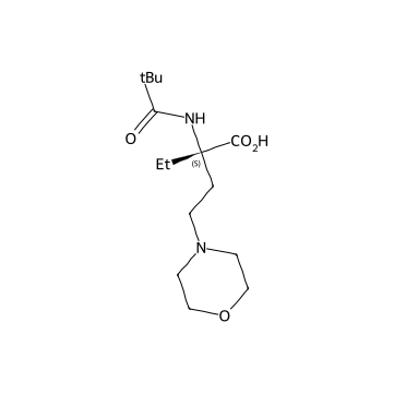 CC[C@@](CCN1CCOCC1)(NC(=O)C(C)(C)C)C(=O)O